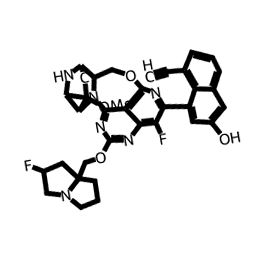 C#Cc1cccc2cc(O)cc(-c3nc4c5c(nc(OCC67CCCN6CC(F)C7)nc5c3F)N3C(CO4)C4CC5(OC)C(N4)C35)c12